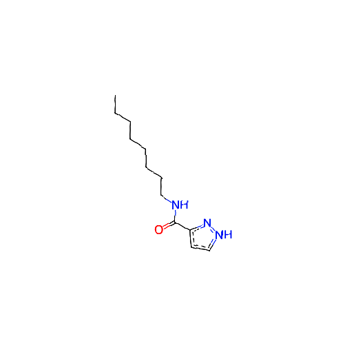 CCCCCCCCNC(=O)c1cc[nH]n1